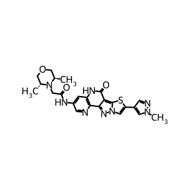 C[C@@H]1COC[C@@H](C)N1CC(=O)Nc1cnc2c(c1)[nH]c(=O)c1c2nn2cc(-c3cnn(C)c3)sc12